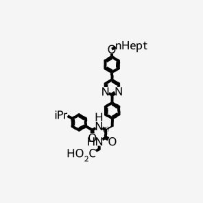 CCCCCCCOc1ccc(-c2cnc(-c3ccc(C[C@H](NC(=O)c4ccc(C(C)C)cc4)C(=O)NCC(=O)O)cc3)nc2)cc1